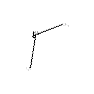 CCCCCCCCCCCCCCCCCCCCCCc1ccc(CN)c(CCCCCCCCCCCCCCCCCCCCCC)c1